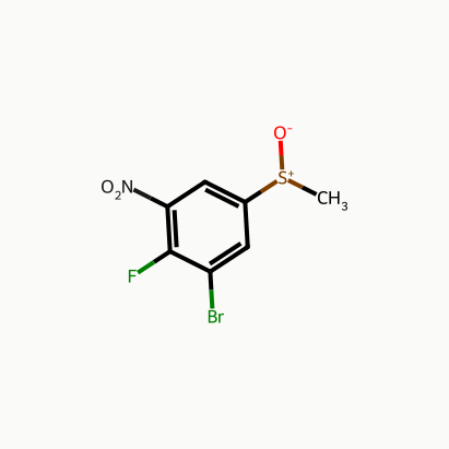 C[S+]([O-])c1cc(Br)c(F)c([N+](=O)[O-])c1